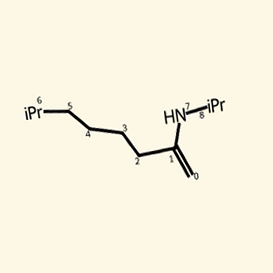 C=C(CCCCC(C)C)NC(C)C